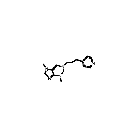 CN1CN=C2C1=CN(CCCc1ccncc1)CN2C